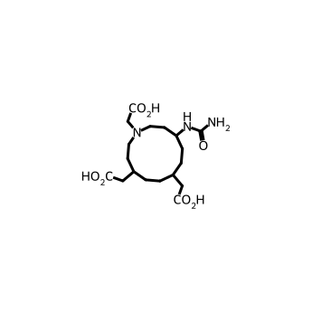 NC(=O)NC1CCC(CC(=O)O)CCC(CC(=O)O)CCN(CC(=O)O)CC1